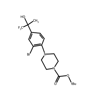 CC(C)(C)OC(=O)N1CCN(c2ccc(C(C)(O)C(F)(F)F)cc2Br)CC1